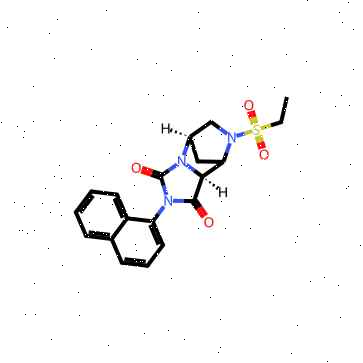 CCS(=O)(=O)N1C[C@H]2CC1[C@H]1C(=O)N(c3cccc4ccccc34)C(=O)N21